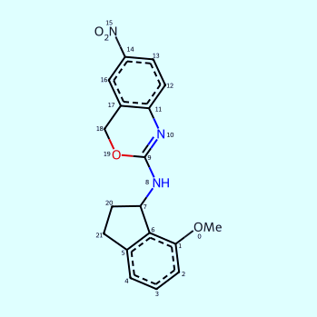 COc1cccc2c1C(NC1=Nc3ccc([N+](=O)[O-])cc3CO1)CC2